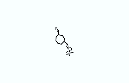 C[Si](C)(C)ON=CC1CCCCC(C#N)CC1